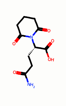 NC(=O)CC[C@@H](C(=O)O)N1C(=O)CCCC1=O